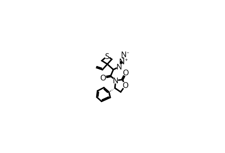 C=CC1(C(N=[N+]=[N-])C(=O)N2C(=O)OC[C@@H]2c2ccccc2)CSC1